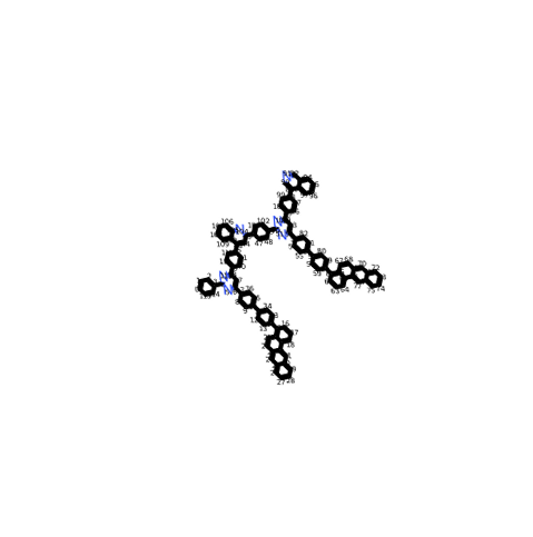 c1ccc(-c2nc(-c3ccc(-c4ccc(-c5cccc6c5ccc5cc7ccccc7cc56)cc4)cc3)cc(-c3ccc(-c4cc(-c5ccc(-c6nc(-c7ccc(-c8ccc(-c9cccc%10c9ccc9cc%11ccccc%11cc9%10)cc8)cc7)cc(-c7ccc(-c8cncc9ccccc89)cc7)n6)cc5)nc5ccccc45)cc3)n2)cc1